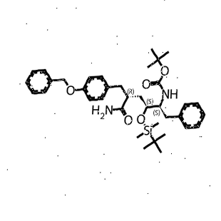 CC(C)(C)OC(=O)N[C@@H](Cc1ccccc1)[C@H](C[C@@H](Cc1ccc(OCc2ccccc2)cc1)C(N)=O)O[Si](C)(C)C(C)(C)C